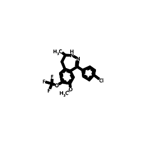 COc1cc2c(cc1OC(F)(F)F)CC(C)NN=C2c1ccc(Cl)cc1